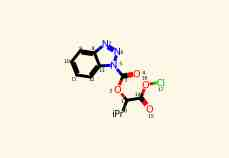 CC(C)C(OC(=O)n1nnc2ccccc21)C(=O)OCl